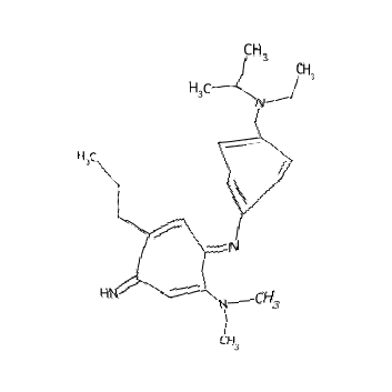 CCCC1=C/C(=N\c2ccc(N(CC)C(C)C)cc2)C(N(C)C)=CC1=N